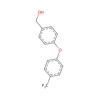 OCc1ccc(Oc2ccc(C(F)(F)F)cc2)cc1